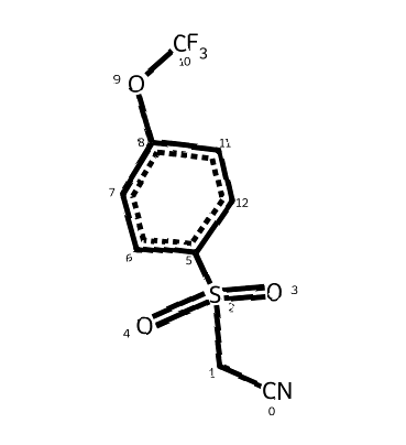 N#CCS(=O)(=O)c1ccc(OC(F)(F)F)cc1